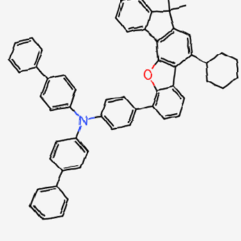 CC1(C)c2ccccc2-c2c1cc(C1CCCCC1)c1c2oc2c(-c3ccc(N(c4ccc(-c5ccccc5)cc4)c4ccc(-c5ccccc5)cc4)cc3)cccc21